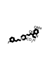 COc1ccc2nccc(C(O)CC[C@@H]3CCN(CCCc4cccc(F)c4)C[C@@H]3C(=O)O)c2c1